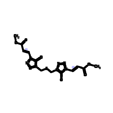 COC(=O)/C=C/n1nnn(CSCn2nnn(/C=C/C(=O)OC)c2=O)c1=O